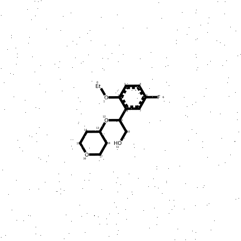 CCOc1ccc(F)cc1C(CO)OC1CCOCC1